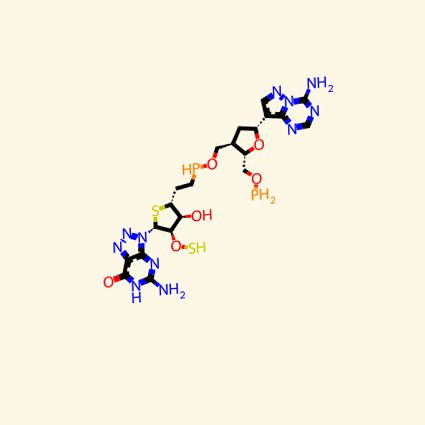 Nc1nc2c(nnn2[C@@H]2S[C@H](CCPOC[C@H]3C[C@H](c4cnn5c(N)ncnc45)O[C@@H]3COP)[C@@H](O)[C@H]2OS)c(=O)[nH]1